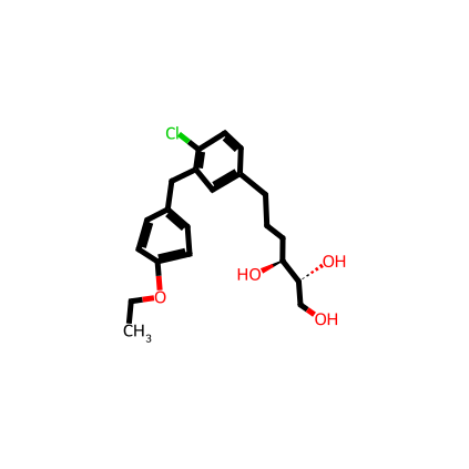 CCOc1ccc(Cc2cc(CCC[C@H](O)[C@H](O)CO)ccc2Cl)cc1